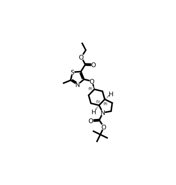 CCOC(=O)c1sc(C)nc1O[C@@H]1CC[C@H]2[C@H](CCN2C(=O)OC(C)(C)C)C1